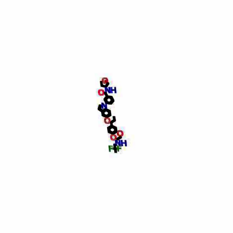 CCC(Oc1ccc2c(ccn2-c2cccc(C(=O)NC3CCOC3)c2)c1)c1ccc2c(c1)OC[C@@H](NCC(C)(F)F)O2